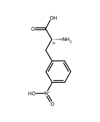 N[C@H](Cc1cccc([N+](=O)O)c1)C(=O)O